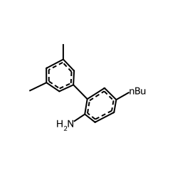 CCCCc1ccc(N)c(-c2cc(C)cc(C)c2)c1